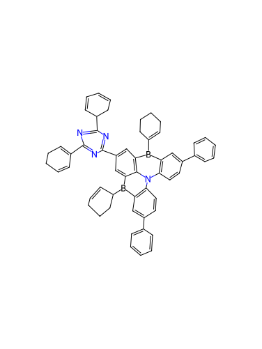 C1=CCC(c2nc(C3=CCCC=C3)nc(-c3cc4c5c(c3)B(C3C=CCCC3)c3cc(-c6ccccc6)ccc3N5c3ccc(-c5ccccc5)cc3B4C3=CCCCC3)n2)C=C1